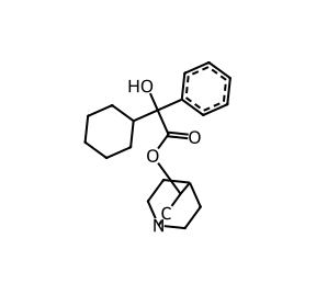 O=C(OC1CN2CCC1CC2)C(O)(c1ccccc1)C1CCCCC1